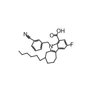 CCCCCCC1CCCc2c(n(Cc3cccc(C#N)c3)c3c(C(=O)O)cc(F)cc23)C1